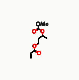 C=CC(=O)OCCC(C)OC(=O)OC